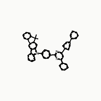 CC1(C)c2ccccc2-c2cc3c4ccccc4n(-c4ccc(-c5nc(-c6ccccc6)cc(-c6ccc(-c7ccccc7)cc6)n5)cc4)c3cc21